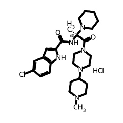 CN1CCC(N2CCN(C(=O)[C@@](C)(NC(=O)c3cc4cc(Cl)ccc4[nH]3)N3CCCCC3)CC2)CC1.Cl